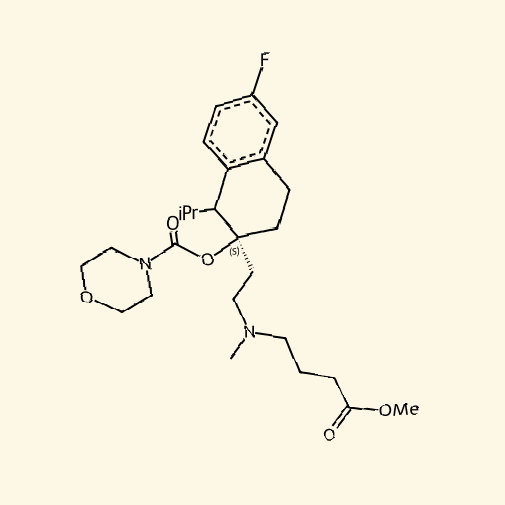 COC(=O)CCCN(C)CC[C@@]1(OC(=O)N2CCOCC2)CCc2cc(F)ccc2C1C(C)C